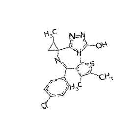 Cc1sc2c(c1C)C(c1ccc(Cl)cc1)=NC1(CC1C)c1nnc(O)n1-2